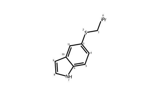 CC(C)CSc1ccc2[nH]ccc2c1